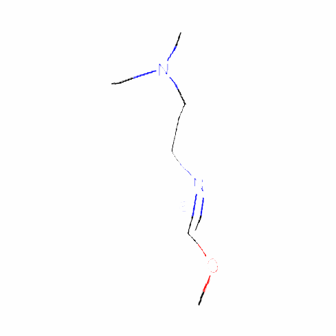 CO/C=N/CCN(C)C